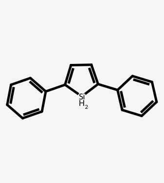 C1=C(c2ccccc2)[SiH2]C(c2ccccc2)=C1